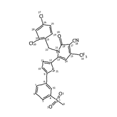 CS(=O)(=O)c1cccc(-c2ccc(-c3cc(C(F)(F)F)c(C#N)c(=O)n3Cc3ccc(Cl)cc3Cl)s2)c1